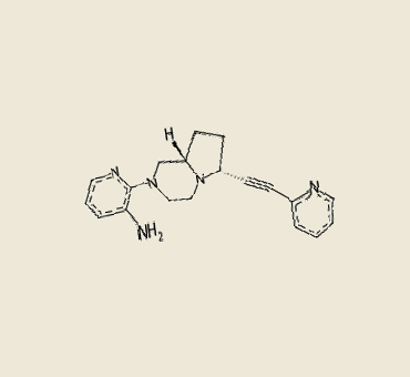 Nc1cccnc1N1CCN2[C@@H](CC[C@@H]2C#Cc2ccccn2)C1